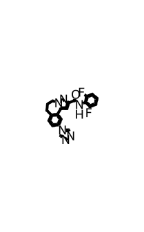 O=C(Nc1c(F)cccc1F)c1cc2n(n1)CCCc1ccc(-n3cnnc3)cc1-2